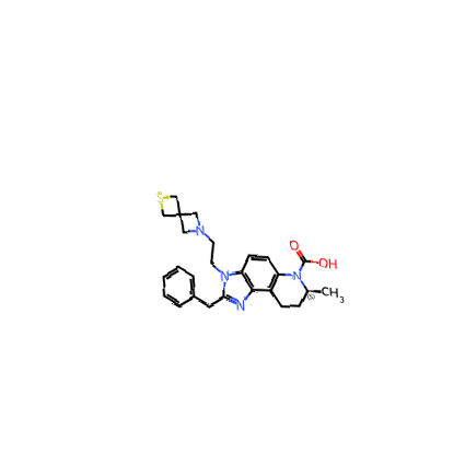 C[C@H]1CCc2c(ccc3c2nc(Cc2ccccc2)n3CCN2CC3(CSC3)C2)N1C(=O)O